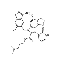 CN(C)CCCOC(=O)c1c(-c2ccc[nH]c2=O)c2c3c(c(F)cc2n1Cc1cc2c(N)nsc2cc1Cl)CCO3